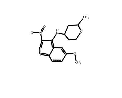 COc1ccc2ncc([N+](=O)[O-])c(NC3CCOC(C)C3)c2c1